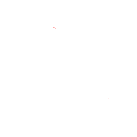 CC(C)c1c(O)ccc(C=O)c1C(C)C